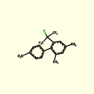 Cc1[c]c(C)c(-c2ccc([N+](=O)[O-])cc2)c(C(F)(C(F)(F)F)C(F)(F)F)c1